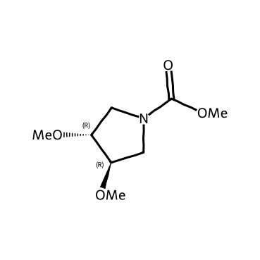 COC(=O)N1C[C@@H](OC)[C@H](OC)C1